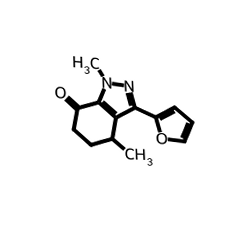 CC1CCC(=O)c2c1c(-c1ccco1)nn2C